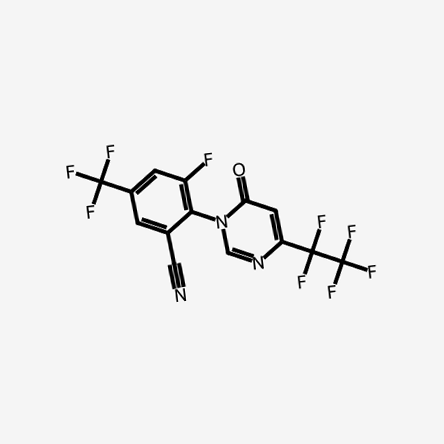 N#Cc1cc(C(F)(F)F)cc(F)c1-n1cnc(C(F)(F)C(F)(F)F)cc1=O